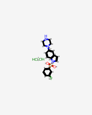 Cl.Cl.O=S(=O)(c1cccc(F)c1)n1ccc2cc(N3CCNCC3)ccc21